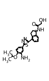 CC(C)Oc1ccc(-c2nnc(-c3cccc4c3CC[C@H]4NC(=O)CO)s2)cc1N